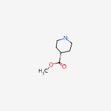 COC(=O)[C]1CC[N]CC1